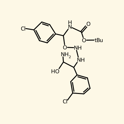 CC(C)(C)OC(=O)NC(ONNC(c1cccc(Cl)c1)C(N)O)c1ccc(Cl)cc1